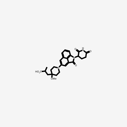 COC1(CC(C)C(=O)O)CCN(c2cc3c4c(cccc4c2)N(C2CCC(=O)NC2=O)C3=O)CC1